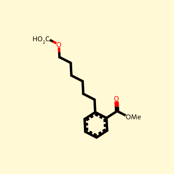 COC(=O)c1ccccc1CCCCCCOC(=O)O